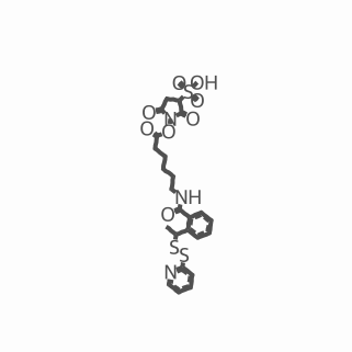 CC(SSc1ccccn1)c1ccccc1C(=O)NCCCCCC(=O)ON1C(=O)CC(S(=O)(=O)O)C1=O